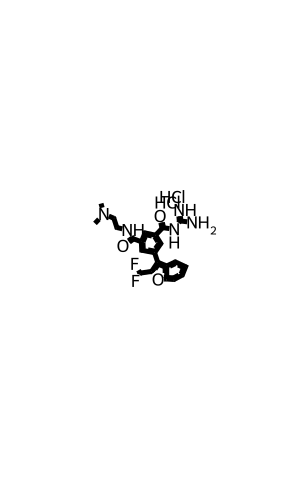 CN(C)CCNC(=O)c1cc(C(=O)NC(=N)N)cc(-c2c(C(F)F)oc3ccccc23)c1.Cl.Cl